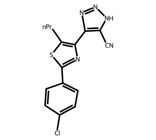 CCCc1sc(-c2ccc(Cl)cc2)nc1-c1nn[nH]c1C#N